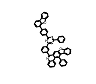 c1ccc(-c2nc(-c3ccc(-c4cccc5c4oc4ccccc45)cc3)nc(-c3cccc(-c4nc5ccccc5c5c(-c6ccccc6)c6c(cc45)oc4ccccc46)c3)n2)cc1